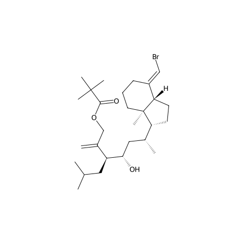 C=C(COC(=O)C(C)(C)C)[C@H](CC(C)C)[C@@H](O)C[C@@H](C)[C@H]1CC[C@H]2/C(=C/Br)CCC[C@]12C